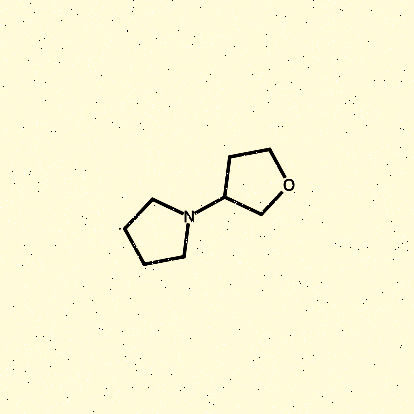 [CH]1CCN(C2CCOC2)C1